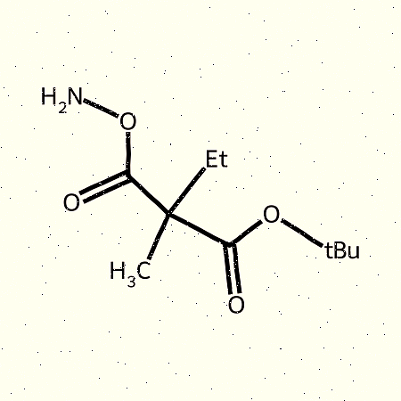 CCC(C)(C(=O)ON)C(=O)OC(C)(C)C